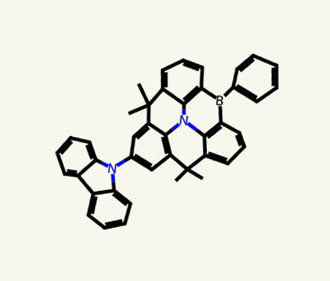 CC1(C)c2cccc3c2N2c4c(cccc4C(C)(C)c4cc(-n5c6ccccc6c6ccccc65)cc1c42)B3c1ccccc1